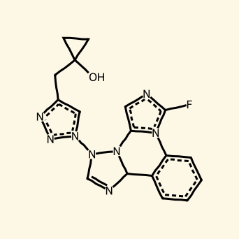 OC1(Cc2cn(N3C=NC4c5ccccc5-n5c(cnc5F)N43)nn2)CC1